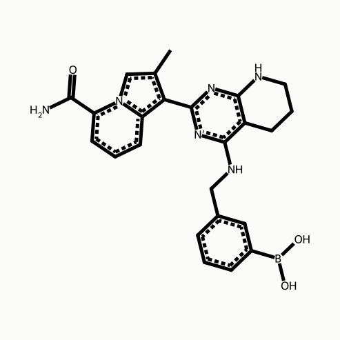 Cc1cn2c(C(N)=O)cccc2c1-c1nc2c(c(NCc3cccc(B(O)O)c3)n1)CCCN2